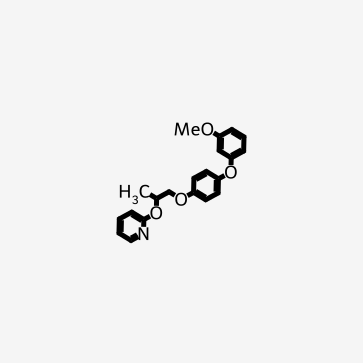 COc1cccc(Oc2ccc(OCC(C)Oc3ccccn3)cc2)c1